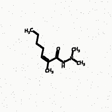 CCCCC=C(C)C(=O)NN(C)C